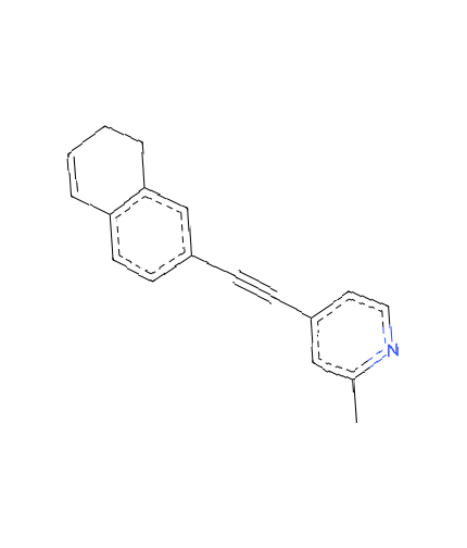 Cc1cc(C#Cc2ccc3c(c2)CCC=C3)ccn1